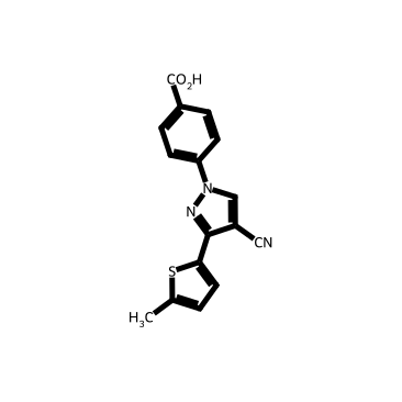 Cc1ccc(-c2nn(-c3ccc(C(=O)O)cc3)cc2C#N)s1